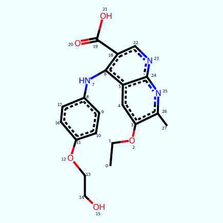 CCOc1cc2c(Nc3ccc(OCCO)cc3)c(C(=O)O)cnc2nc1C